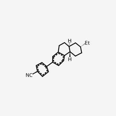 CC[C@@H]1CC[C@@H]2c3ccc(-c4ccc(C#N)cc4)cc3CC[C@H]2C1